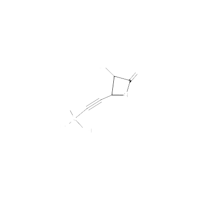 CCC1C(=O)NC1C#C[Si](C)(C)C